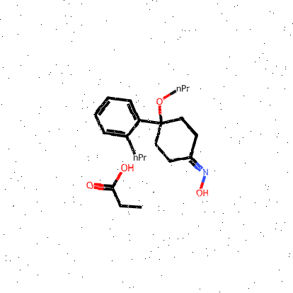 CCC(=O)O.CCCOC1(c2ccccc2CCC)CCC(=NO)CC1